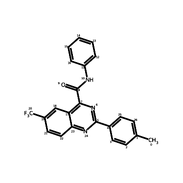 Cc1ccc(-c2nc(C(=O)Nc3ccccc3)c3cc(C(F)(F)F)ccc3n2)cc1